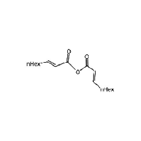 CCCCCCC=CC(=O)OC(=O)C=CCCCCCC